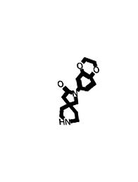 O=C1CC2(CCNCC2)CN1c1ccc2c(c1)OCCO2